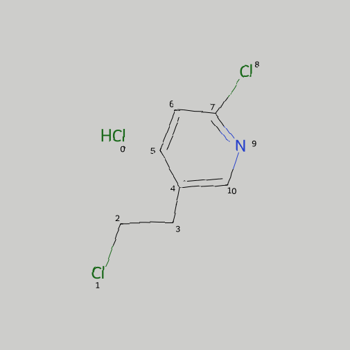 Cl.ClCCc1ccc(Cl)nc1